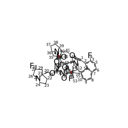 C#Cc1c(F)ccc2cccc(-c3nc4c5c(nc(OC[C@@]67CCCN6C[C@H](F)C7)nc5c3F)N3CC5CCC(C3CO4)N5C(=O)OC(C)OC(=O)C(C)(C)C)c12